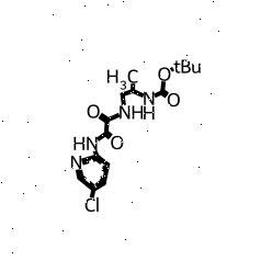 CC(CNC(=O)C(=O)Nc1ccc(Cl)cn1)NC(=O)OC(C)(C)C